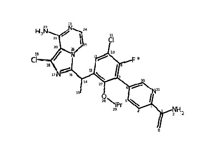 C=C(N)c1ccc(-c2c(F)c(Cl)cc(C(C)c3nc(Cl)c4c(N)nccn34)c2OC(C)C)cn1